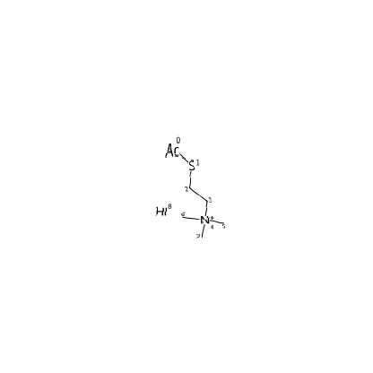 CC(=O)SCC[N+](C)(C)C.I